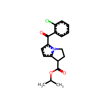 CC(C)OC(=O)C1CCn2c(C(=O)c3ccccc3Cl)ccc21